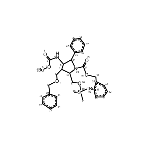 CC(C)(C)OC(=O)NC1C(COCc2ccccc2)C(CO[Si](C)(C)C(C)(C)C)N(C(=O)OCc2ccccc2)C1c1ccccc1